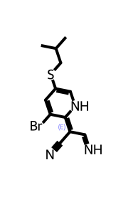 CC(C)CSC1=CN/C(=C(/C#N)C=N)C(Br)=C1